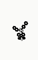 c1ccc(-c2ccc(-c3nc(-c4ccc5ccccc5c4)nc(-c4cccc5c4-c4ccccc4C54c5ccccc5Oc5ccccc54)n3)cc2)cc1